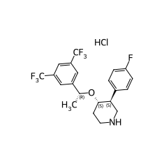 C[C@@H](O[C@H]1CCNC[C@@H]1c1ccc(F)cc1)c1cc(C(F)(F)F)cc(C(F)(F)F)c1.Cl